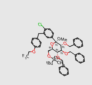 CO[C@@]1(c2ccc(Cl)c(Cc3ccc(OCC(F)(F)F)cc3)c2)O[C@H](CO[Si](C)(C)C(C)(C)C)[C@@H](OCc2ccccc2)[C@H](OCc2ccccc2)[C@H]1OCc1ccccc1